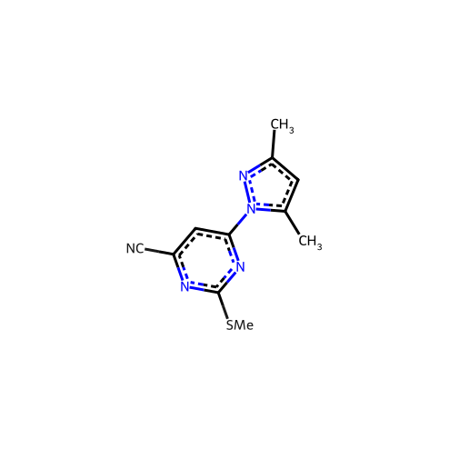 CSc1nc(C#N)cc(-n2nc(C)cc2C)n1